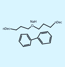 CCCCCCCCCCCCCOCCCCCCCCCCCCC.[NaH].c1ccc(-c2ccccc2)cc1